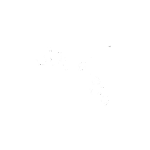 COc1cc2c(cc1OCc1cc(CSCCCCC=O)cc(COc3cc4c(cc3OC)C(=O)N3c5ccccc5C[C@H]3CN4)n1)N=C[C@@H]1Cc3ccccc3N1C2=O